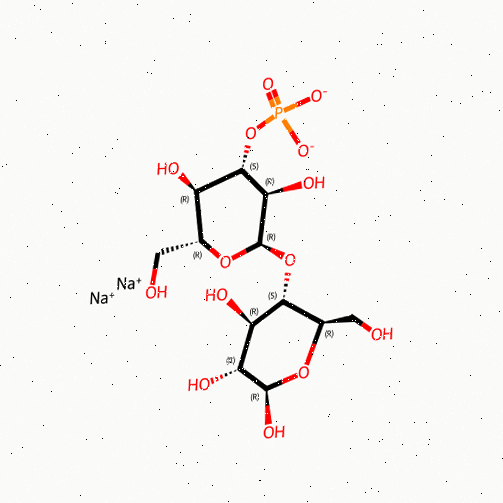 O=P([O-])([O-])O[C@@H]1[C@@H](O)[C@@H](O[C@H]2[C@H](O)[C@@H](O)[C@H](O)O[C@@H]2CO)O[C@H](CO)[C@H]1O.[Na+].[Na+]